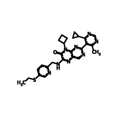 CCSc1ccc(CNc2nc3cnc(-c4c(C)ncnc4C4CC4)nc3n(C3CCC3)c2=O)nc1